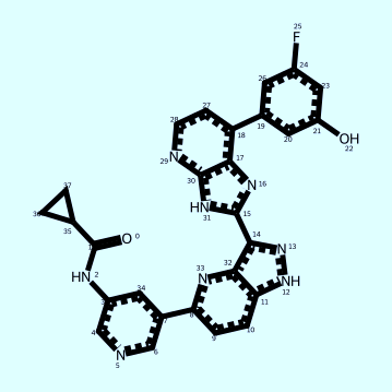 O=C(Nc1cncc(-c2ccc3[nH]nc(-c4nc5c(-c6cc(O)cc(F)c6)ccnc5[nH]4)c3n2)c1)C1CC1